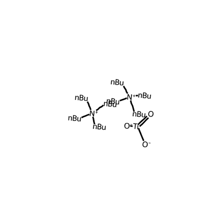 CCCC[N+](CCCC)(CCCC)CCCC.CCCC[N+](CCCC)(CCCC)CCCC.[O]=[Ti]([O-])[O-]